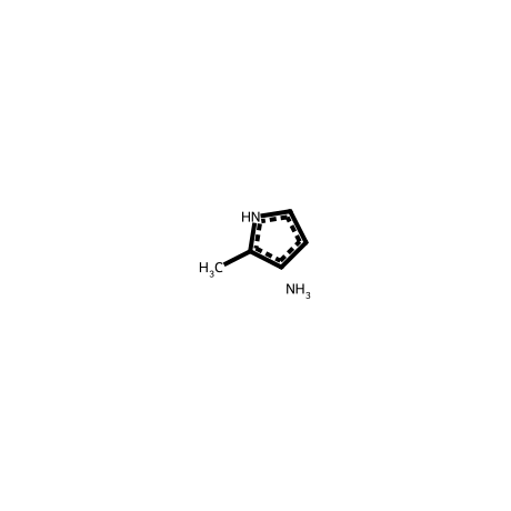 Cc1ccc[nH]1.N